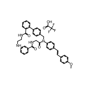 COc1ccc(C=Cc2ccc(N(Cc3ccc(-c4ccccc4C(=O)NCCN)cc3)C(=O)CNC(=O)c3ccccc3)cc2)cc1.O=C(O)C(F)(F)F